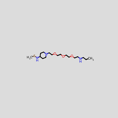 CCCNCCOCCOCCOCCN1CCC(NSC)CC1